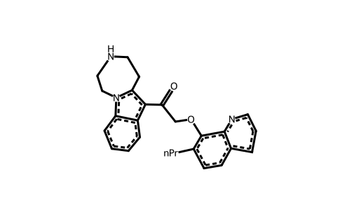 CCCc1ccc2cccnc2c1OCC(=O)c1c2n(c3ccccc13)CCNCC2